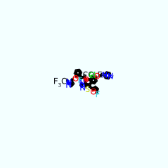 CCOC(=O)C(Oc1ncnc2sc(-c3ccc(F)o3)c(-c3ccc(OCCN4CCN(C)CC4)c(Cl)c3C)c12)C(F)c1ccccc1OCc1ccnn1CC(F)(F)F